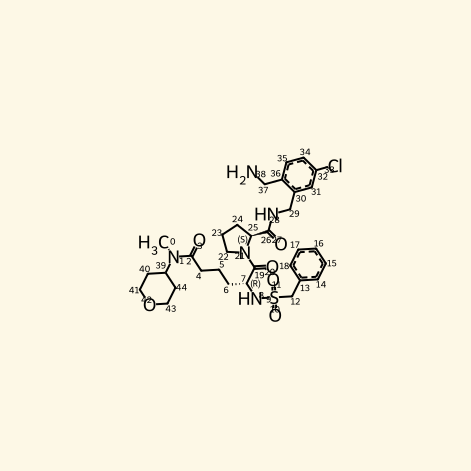 CN(C(=O)CCC[C@@H](NS(=O)(=O)Cc1ccccc1)C(=O)N1CCC[C@H]1C(=O)NCc1cc(Cl)ccc1CN)C1CCOCC1